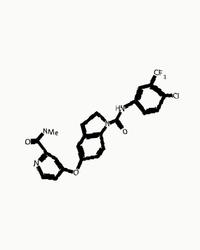 CNC(=O)c1cc(Oc2ccc3c(c2)CCN3C(=O)Nc2ccc(Cl)c(C(F)(F)F)c2)ccn1